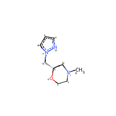 CN1CCO[C@H](Cn2cccn2)C1